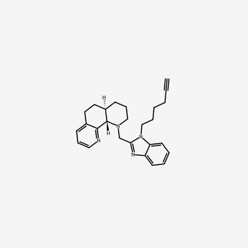 C#CCCCCn1c(CN2CCC[C@@H]3CCc4cccnc4[C@H]32)nc2ccccc21